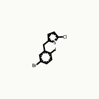 Clc1ccc(Cc2cc(Br)ccc2I)s1